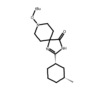 C[C@@H]1CCC[C@H](C2=NC3(CCN(OC(C)(C)C)CC3)C(=O)N2)C1